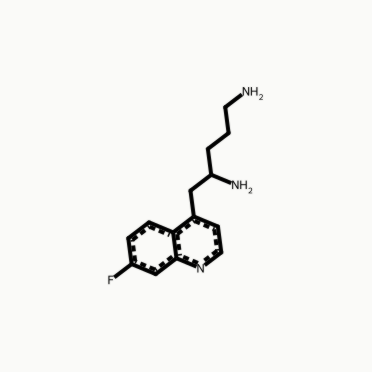 NCCCC(N)Cc1ccnc2cc(F)ccc12